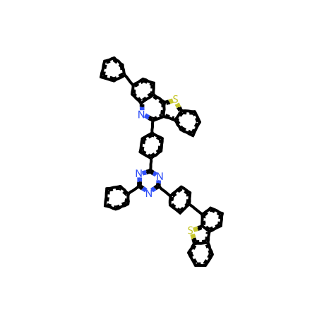 c1ccc(-c2ccc3c(c2)nc(-c2ccc(-c4nc(-c5ccccc5)nc(-c5ccc(-c6cccc7c6sc6ccccc67)cc5)n4)cc2)c2c4ccccc4sc32)cc1